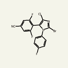 N#Cc1cc(F)c(-c2c(Cl)nc(Br)n2-c2ccc(F)cc2)c(F)c1